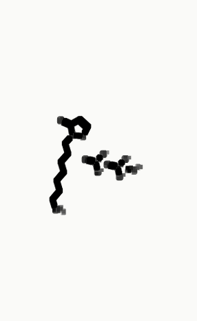 CCCCCCCCn1sccc1=O.O=[N+]([O-])[O-].O=[N+]([O-])[O-].[Mg+2]